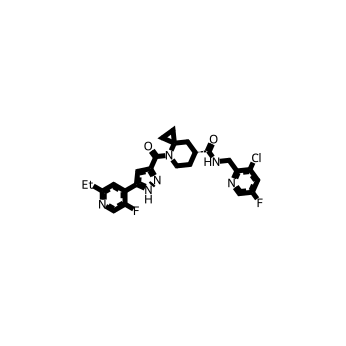 CCc1cc(-c2cc(C(=O)N3CC[C@@H](C(=O)NCc4ncc(F)cc4Cl)CC34CC4)n[nH]2)c(F)cn1